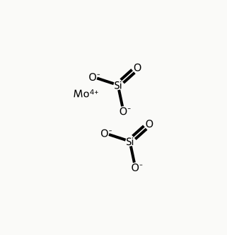 O=[Si]([O-])[O-].O=[Si]([O-])[O-].[Mo+4]